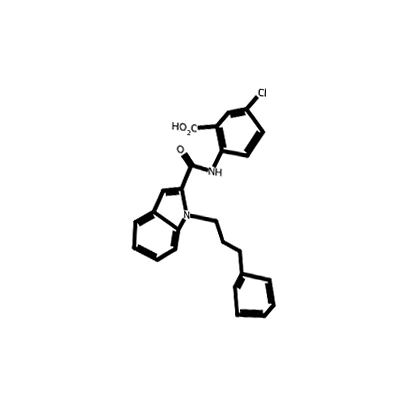 O=C(O)c1cc(Cl)ccc1NC(=O)c1cc2ccccc2n1CCCc1ccccc1